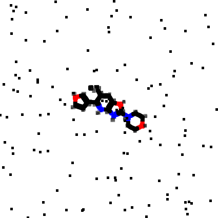 O=[N+]([O-])c1cc2oc(N3CCOCC3)nc2nc1-c1ccoc1